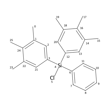 Cc1cc([Si](Cl)(c2ccccc2)c2cc(C)c(C)c(C)c2)cc(C)c1C